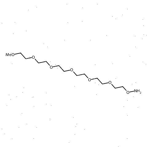 COCCOCCOCCOCCOCCOCCON